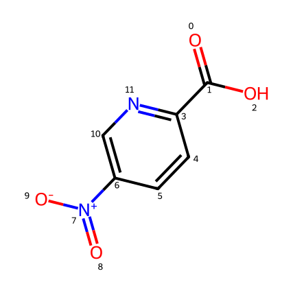 O=C(O)c1ccc([N+](=O)[O-])cn1